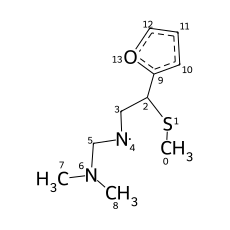 CSC(C[N]CN(C)C)c1ccco1